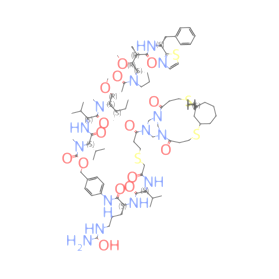 CC[C@H](C)[C@@H]([C@@H](CC(=O)N1CCC[C@H]1[C@H](OC)[C@@H](C)C(=O)N[C@@H](Cc1ccccc1)c1nccs1)OC)N(C)C(=O)[C@@H](NC(=O)[C@H](C(C)C)N(C)C(=O)OCc1ccc(NC(=O)[C@H](CCCNC(N)O)NC(=O)[C@@H](NC(=O)CSCCC(=O)N2CN3CN(C2)C(=O)CCS[C@H]2CCCCC(C2)SCCC3=O)C(C)C)cc1)C(C)C